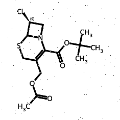 CC(=O)OCC1=C(C(=O)OC(C)(C)C)N2C[C@H](Cl)C2SC1